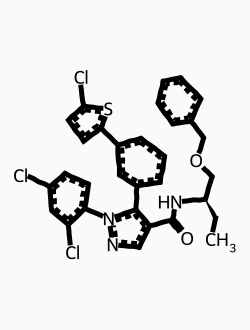 CC[C@H](COCc1ccccc1)NC(=O)c1cnn(-c2ccc(Cl)cc2Cl)c1-c1cccc(-c2ccc(Cl)s2)c1